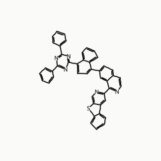 c1ccc(-c2nc(-c3ccccc3)nc(-c3ccc(-c4ccc5ccnc(-c6cc7c(cn6)sc6ccccc67)c5c4)c4ccccc34)n2)cc1